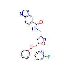 O=C(NCC1=NOC(COc2ccccc2-c2ccc(F)nc2)C1)c1ccc2nccn2c1